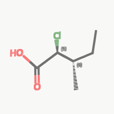 CC[C@H](C)[C@H](Cl)C(=O)O